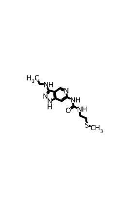 CCNc1n[nH]c2cc(NC(=O)NCCSC)ncc12